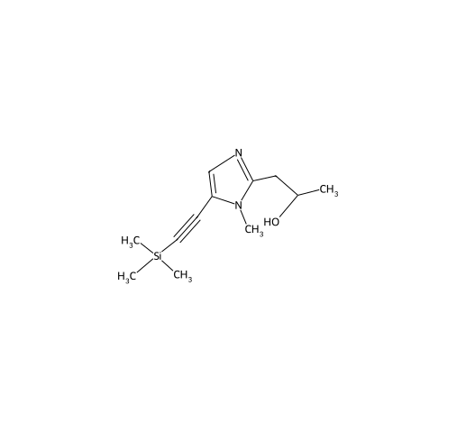 CC(O)Cc1ncc(C#C[Si](C)(C)C)n1C